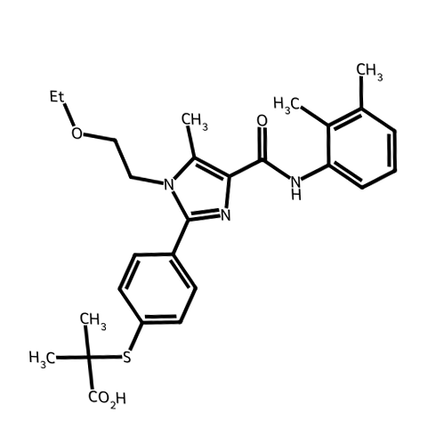 CCOCCn1c(-c2ccc(SC(C)(C)C(=O)O)cc2)nc(C(=O)Nc2cccc(C)c2C)c1C